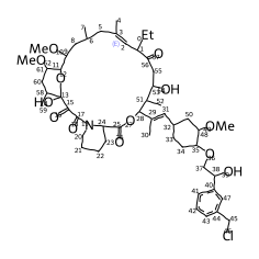 CCC1/C=C(\C)CC(C)CC(OC)C2OC(O)(C(=O)C(=O)N3CCCCC3C(=O)OC(C(C)=CC3CCC(OCC(O)c4cccc(CCl)c4)C(OC)C3)C(C)C(O)CC1=O)C(C)CC2OC